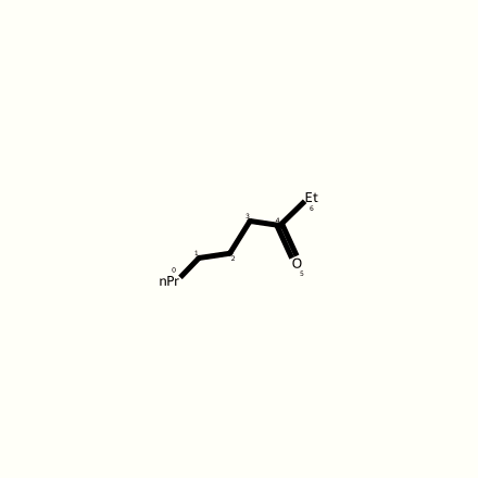 [CH2]CCCCCC(=O)CC